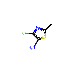 Cc1nc(Cl)c(N)s1